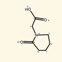 O=C(O)CN1CCCCC1=O